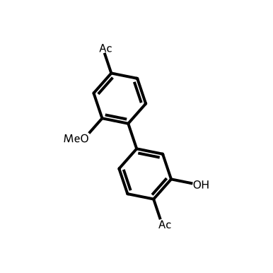 COc1cc(C(C)=O)ccc1-c1ccc(C(C)=O)c(O)c1